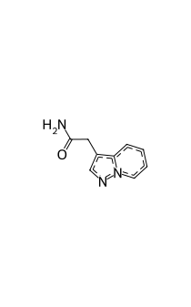 NC(=O)Cc1cnn2ccccc12